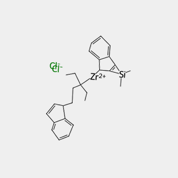 CC[C](CC)(CCC1C=Cc2ccccc21)[Zr+2][CH]1C2=C(c3ccccc31)[Si]2(C)C.[Cl-].[Cl-]